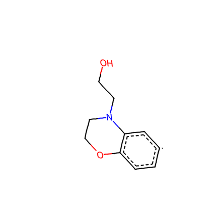 OCCN1CCOc2cc[c]cc21